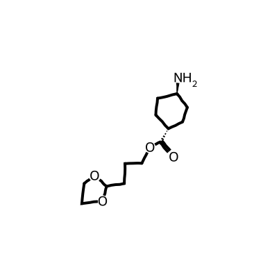 N[C@H]1CC[C@H](C(=O)OCCCC2OCCO2)CC1